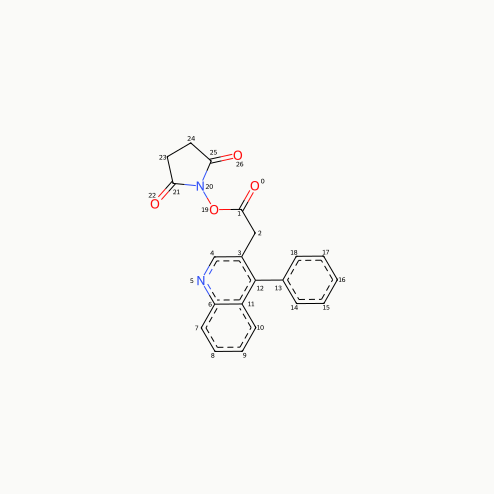 O=C(Cc1cnc2ccccc2c1-c1ccccc1)ON1C(=O)CCC1=O